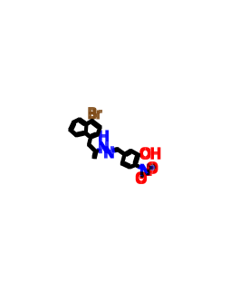 C=C(Cc1ccc(Br)c2ccccc12)N/N=C/c1ccc([N+](=O)[O-])c(O)c1